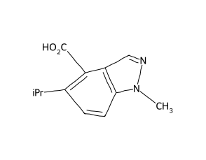 CC(C)c1ccc2c(cnn2C)c1C(=O)O